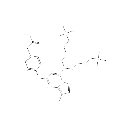 COC(=O)Cc1ccc(Oc2cc(N(COCC[Si](C)(C)C)COCC[Si](C)(C)C)n3ncc(I)c3n2)cc1